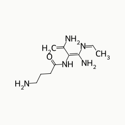 C=C(N)/C(NC(=O)CCCN)=C(N)\N=C/C